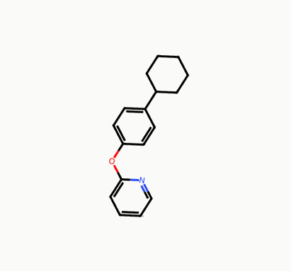 [c]1ccc(Oc2ccc(C3CCCCC3)cc2)nc1